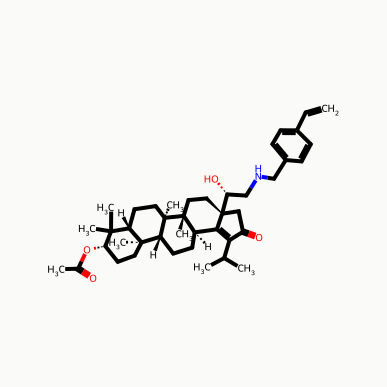 C=Cc1ccc(CNC[C@@H](O)[C@@]23CC[C@]4(C)[C@H](CC[C@@H]5[C@@]6(C)CC[C@H](OC(C)=O)C(C)(C)[C@@H]6CC[C@]54C)C2=C(C(C)C)C(=O)C3)cc1